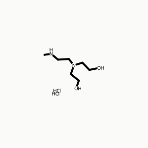 CNCCN(CCO)CCO.Cl.Cl